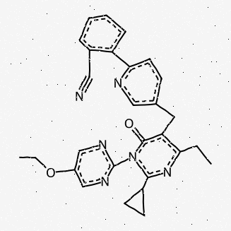 CCOc1cnc(-n2c(C3CC3)nc(CC)c(Cc3ccc(-c4ccccc4C#N)nc3)c2=O)nc1